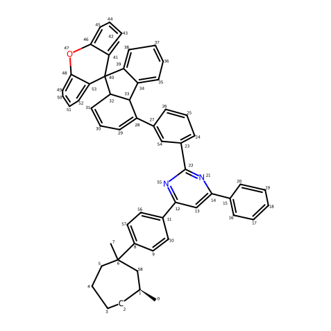 C[C@H]1CCCCC(C)(c2ccc(-c3cc(-c4ccccc4)nc(-c4cccc(C5=CC=CC6C5c5ccccc5C65c6ccccc6Oc6ccccc65)c4)n3)cc2)C1